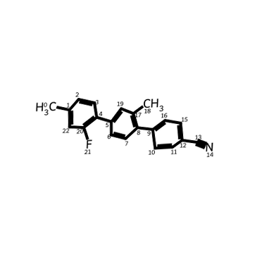 Cc1ccc(-c2ccc(-c3ccc(C#N)cc3)c(C)c2)c(F)c1